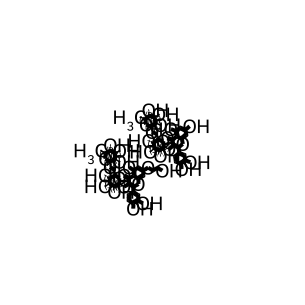 C[C@@H]1O[C@@H](OC[C@H]2O[C@@H](Oc3c(-c4ccc(O)c(O)c4)oc4cc(O)cc(O)c4c3=O)[C@H](O)[C@@H](O)[C@@H]2O)[C@H](O)[C@H](O)[C@H]1O.C[C@@H]1O[C@@H](OC[C@H]2O[C@@H](Oc3c(-c4ccc(O)c(O)c4)oc4cc(OCCO)cc(O)c4c3=O)[C@H](O)[C@@H](O)[C@@H]2O)[C@H](O)[C@H](O)[C@H]1O